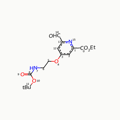 CCOC(=O)c1cc(OCCNC(=O)OC(C)(C)C)cc(C=O)n1